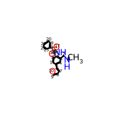 CNCc1cc(-c2ccco2)ccc1NS(=O)(=O)c1ccccc1